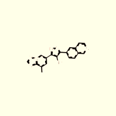 Cc1cc(-c2[nH]nc(-c3ccc4cnccc4c3)c2C(C)C)cn2ncnc12